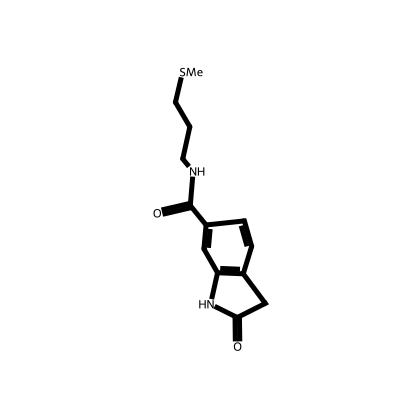 CSCCCNC(=O)c1ccc2c(c1)NC(=O)C2